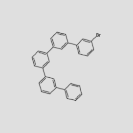 Brc1cccc(-c2cccc(-c3cccc(-c4cccc(-c5ccccc5)c4)c3)c2)c1